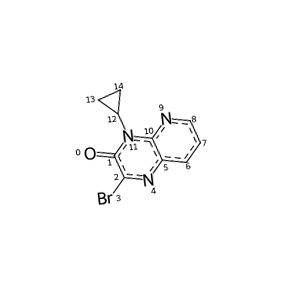 O=c1c(Br)nc2cccnc2n1C1CC1